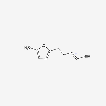 Cc1ccc(CC/C=C/C(C)(C)C)o1